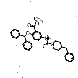 COC(=O)c1cc(NC(=O)N2CCC(Cc3ccccc3)CC2)ccc1OC(c1ccccc1)c1ccccc1